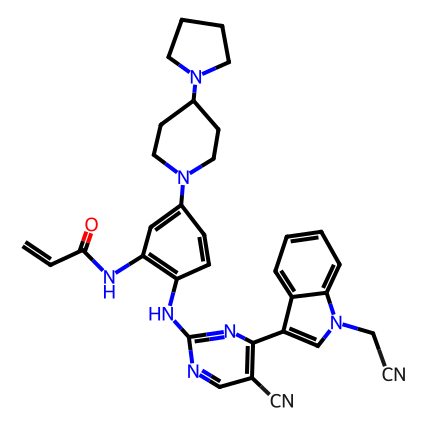 C=CC(=O)Nc1cc(N2CCC(N3CCCC3)CC2)ccc1Nc1ncc(C#N)c(-c2cn(CC#N)c3ccccc23)n1